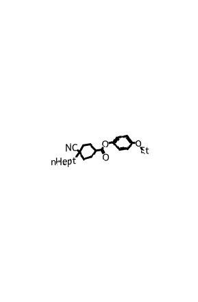 CCCCCCCC1(C#N)CCC(C(=O)Oc2ccc(OCC)cc2)CC1